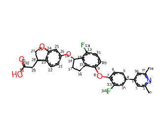 Cc1cc(-c2ccc(Oc3ccc(F)c4c3CC[C@H]4Oc3ccc4c(c3)OCC4CC(=O)O)c(F)c2)cc(C)n1